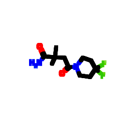 CC(C)(CC(=O)N1CCC(F)(F)CC1)C(N)=O